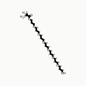 C=C(C)C(=O)OCCCOCCCOCCCOCCCOCCCOCCCOCCCO